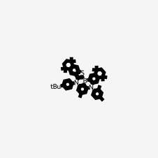 Cc1ccc(N2c3cc4c(cc3B3c5sc6cc7c(cc6c5N(c5ccc(C(C)(C)C)cc5)c5cc(C)cc2c53)C(C)(C)CCC7(C)C)C(C)(C)CCC4(C)C)c(C)c1